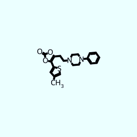 Cc1csc(-c2oc(=O)oc2CCN2CCN(c3ccccc3)CC2)c1